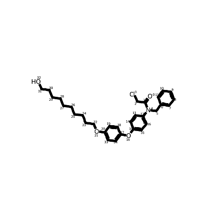 O=C(CCl)N(Cc1ccccc1)c1ccc(Oc2ccc(OCCCCCCCCCCO)cc2)cc1